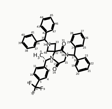 C[C@@H](c1ccc(C(F)(F)F)cc1)N1C(=O)CN(C(c2ccccc2)c2ccccc2)C(=O)C12CN(C(c1ccccc1)c1ccccc1)C2